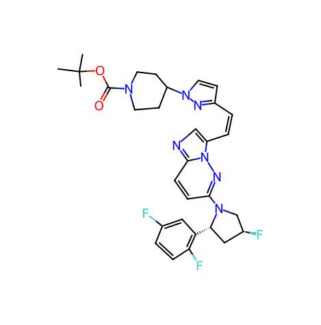 CC(C)(C)OC(=O)N1CCC(n2ccc(/C=C\c3cnc4ccc(N5C[C@@H](F)C[C@@H]5c5cc(F)ccc5F)nn34)n2)CC1